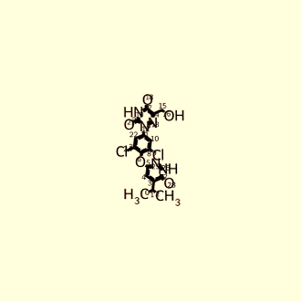 CC(C)c1cc(Oc2c(Cl)cc(-n3nc(CO)c(=O)[nH]c3=O)cc2Cl)n[nH]c1=O